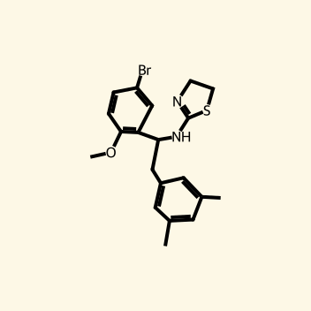 COc1ccc(Br)cc1C(Cc1cc(C)cc(C)c1)NC1=NCCS1